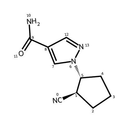 N#C[C@@H]1CCC[C@H]1n1cc(C(N)=O)cn1